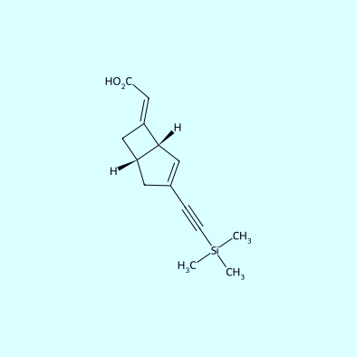 C[Si](C)(C)C#CC1=C[C@H]2C(=CC(=O)O)C[C@H]2C1